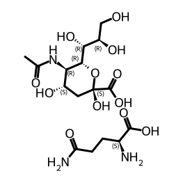 CC(=O)N[C@H]1[C@H]([C@H](O)[C@H](O)CO)O[C@](O)(C(=O)O)C[C@@H]1O.NC(=O)CC[C@H](N)C(=O)O